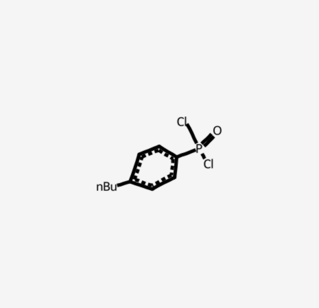 CCCCc1ccc(P(=O)(Cl)Cl)cc1